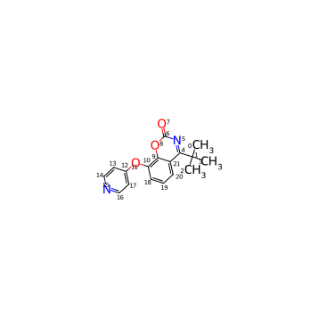 CC(C)(C)c1nc(=O)oc2c(Oc3ccncc3)cccc12